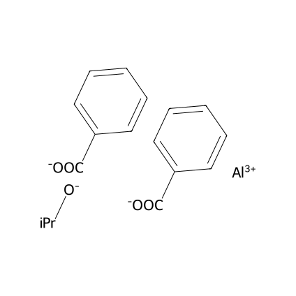 CC(C)[O-].O=C([O-])c1ccccc1.O=C([O-])c1ccccc1.[Al+3]